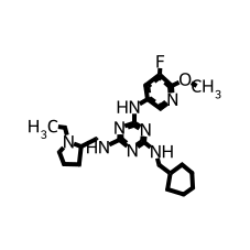 CCN1CCCC1CNc1nc(NCC2CCCCC2)nc(Nc2cnc(OC)c(F)c2)n1